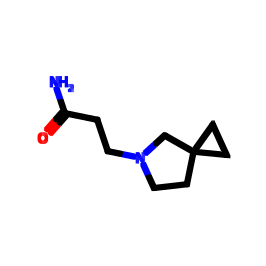 NC(=O)CCN1CCC2(CC2)C1